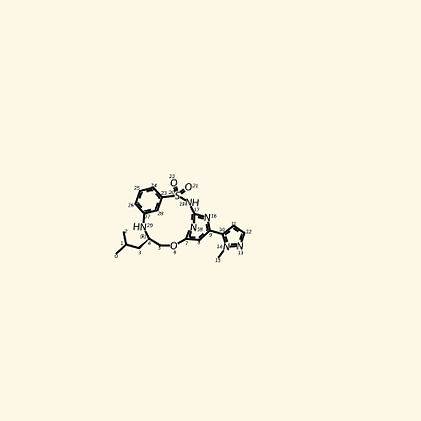 CC(C)C[C@@H]1COc2cc(-c3ccnn3C)nc(n2)NS(=O)(=O)c2cccc(c2)N1